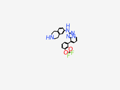 FC1(F)Oc2cccc(-c3cccn4nc(Nc5ccc6c(c5)CCNCC6)nc34)c2O1